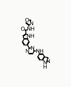 O=C(Nc1cocn1)c1cc2ccc(-c3nccc(Nc4ccc5[nH]ncc5c4)n3)cc2[nH]1